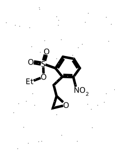 CCOS(=O)(=O)c1cccc([N+](=O)[O-])c1CC1CO1